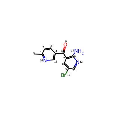 Cc1ccc(C(=O)c2cc(Br)cnc2N)cn1